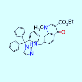 CCOC(=O)c1cn(C)c2cc(CNc3nccn3C(c3ccccc3)(c3ccccc3)c3ccccc3)ccc2c1=O